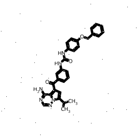 CC(C)c1cc(C(=O)c2cccc(NC(=O)Nc3ccc(OCc4ccccc4)cc3)c2)c2c(N)ncnn12